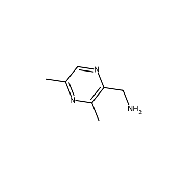 Cc1cnc(CN)c(C)n1